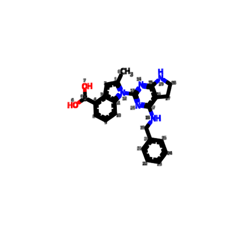 Cc1cc2c(B(O)O)cccc2n1-c1nc2c(c(NCc3ccccc3)n1)CCN2